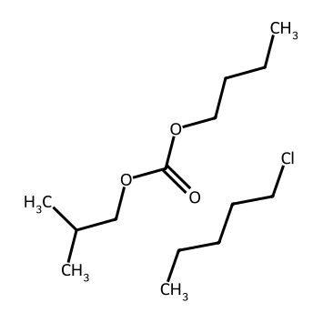 CCCCCCl.CCCCOC(=O)OCC(C)C